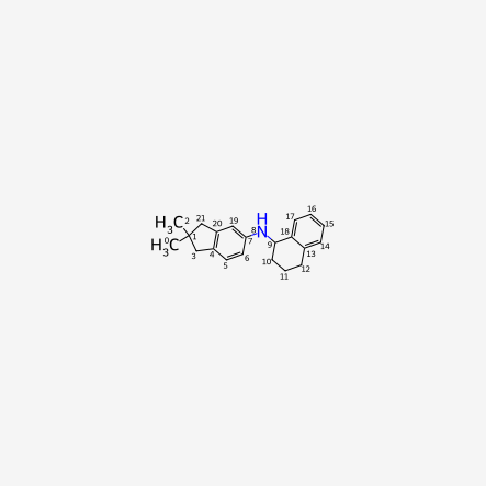 CC1(C)Cc2ccc(NC3CCCc4ccccc43)cc2C1